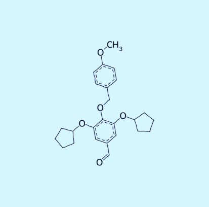 COc1ccc(COc2c(OC3CCCC3)cc(C=O)cc2OC2CCCC2)cc1